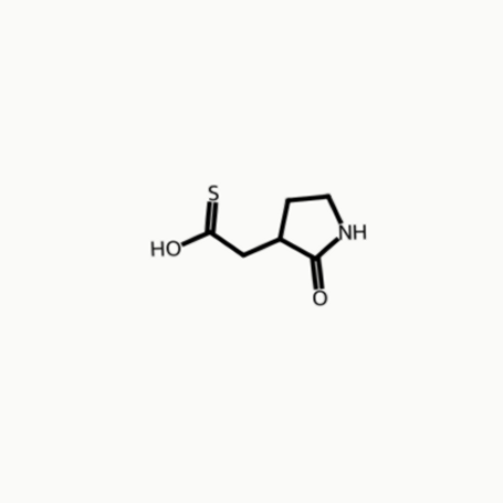 O=C1NCCC1CC(O)=S